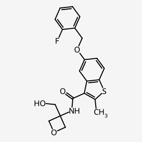 Cc1sc2ccc(OCc3ccccc3F)cc2c1C(=O)NC1(CO)COC1